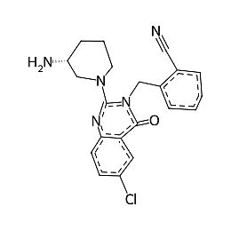 N#Cc1ccccc1Cn1c(N2CCC[C@@H](N)C2)nc2ccc(Cl)cc2c1=O